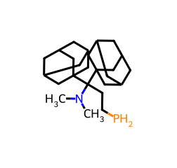 CN(C)C(CCP)(C12CC3CC(CC(C3)C1)C2)C12CC3CC(CC(C3)C1)C2